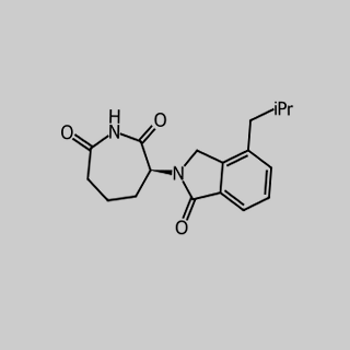 CC(C)Cc1cccc2c1CN([C@H]1CCCC(=O)NC1=O)C2=O